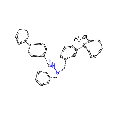 Bc1ccccc1-c1cccc(CN(Cc2ccccc2)/N=C/c2ccc(-c3ccccc3)cc2)c1